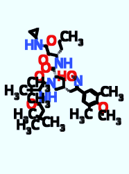 CCC[C@H](NC(=O)[C@@H]1C[C@H](C/C(=N\O)c2cc(C)c(OC)c(C)c2)CN1C(=O)[C@@H](NC(=O)CC(C)(C)C)C(C)(C)C)C(=O)C(=O)NC1CC1